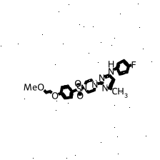 COCCOc1ccc(S(=O)(=O)N2CCN(c3nc(C)cc(Nc4ccc(F)cc4)n3)CC2)cc1